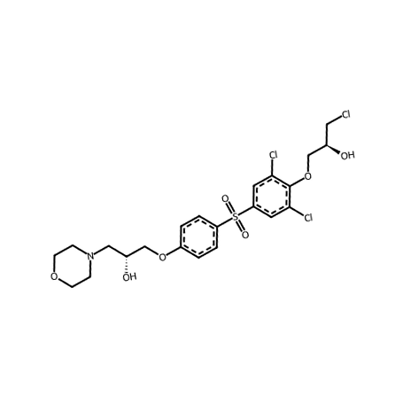 O=S(=O)(c1ccc(OC[C@H](O)CN2CCOCC2)cc1)c1cc(Cl)c(OC[C@H](O)CCl)c(Cl)c1